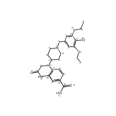 CCOc1cc(CN2CCC(N3CC(=O)Nc4cc(C(=O)O)ccc43)CC2)cc(OCC)c1Cl